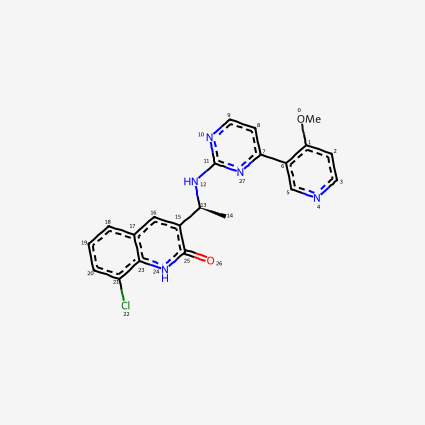 COc1ccncc1-c1ccnc(N[C@@H](C)c2cc3cccc(Cl)c3[nH]c2=O)n1